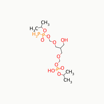 CC(C)OP(=O)(O)OCOCC(CO)COCOP(=O)(P)OC(C)C